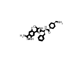 NC[C@H]1CC[C@H](C(=O)N[C@@H](Cc2ccccc2)c2nc(-c3cc4[nH]nc(N)c4cc3F)c(Cl)[nH]2)CC1